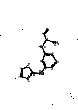 C=CC(N)Nc1cccc(Nc2nccs2)c1